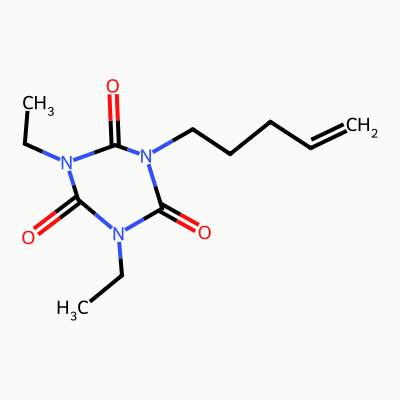 C=CCCCn1c(=O)n(CC)c(=O)n(CC)c1=O